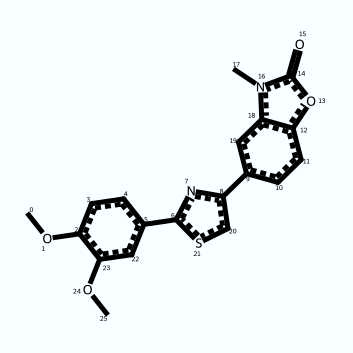 COc1ccc(-c2nc(-c3ccc4oc(=O)n(C)c4c3)cs2)cc1OC